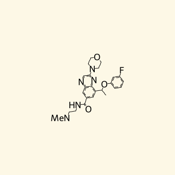 CNCCNC(=O)c1cc(C(C)Oc2cccc(F)c2)c2nc(N3CCOCC3)cnc2c1